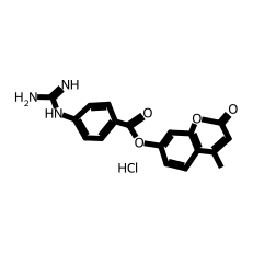 Cc1cc(=O)oc2cc(OC(=O)c3ccc(NC(=N)N)cc3)ccc12.Cl